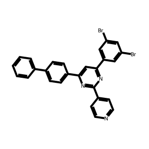 Brc1cc(Br)cc(-c2cc(-c3ccc(-c4ccccc4)cc3)nc(-c3ccncc3)n2)c1